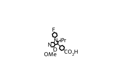 COCOc1cncc2c1c(-c1ccc(C(=O)O)cc1)c(C(C)C)n2-c1ccc(F)cc1